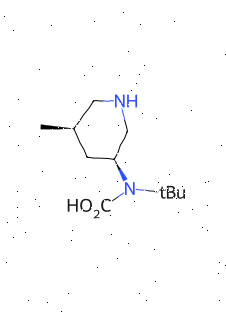 C[C@H]1CNC[C@@H](N(C(=O)O)C(C)(C)C)C1